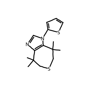 CC1(C)CSCC(C)(C)c2c1ncn2-c1cccs1